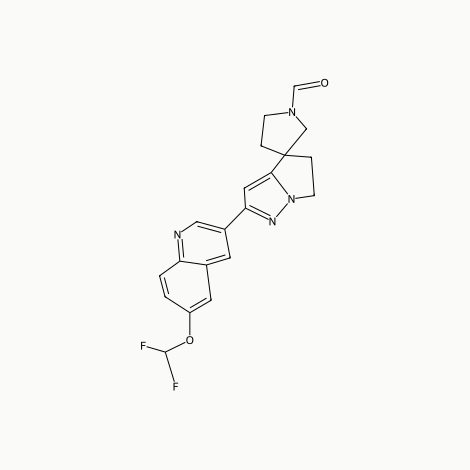 O=CN1CCC2(CCn3nc(-c4cnc5ccc(OC(F)F)cc5c4)cc32)C1